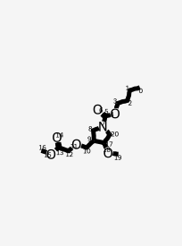 CCCCOC(=O)N1CC(COCC(=O)OC)C(OC)C1